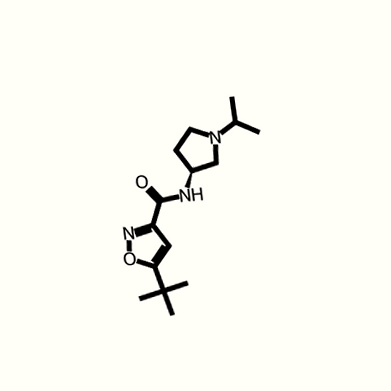 CC(C)N1CC[C@H](NC(=O)c2cc(C(C)(C)C)on2)C1